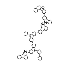 c1ccc(-c2cccc(-n3c4ccc(-c5ccc6c(c5)c5cc(-c7ccc8c(c7)-c7cnc(-n9c%10ccccc%10c%10cc(-c%11ccc%12oc%13ccc%14ccccc%14c%13c%12c%11)ccc%109)c9cccc-8c79)ccc5n6-c5ccccc5)cc4c4cc(-c5ncc6c7c(cccc57)-c5ccccc5-6)ccc43)c2)cc1